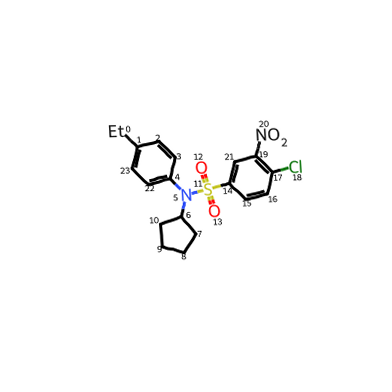 CCc1ccc(N(C2CCCC2)S(=O)(=O)c2ccc(Cl)c([N+](=O)[O-])c2)cc1